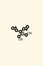 CC1(C)c2ccccc2-c2ccc(-c3cc(-c4ccc5c(c4)C(C)(C)c4ccccc4-5)c4nc(-c5cccc(C#N)c5)nc(-c5cccc(C#N)c5)c4c3)cc21